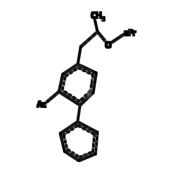 CCCOC(C)Cc1ccc(-c2ccccc2)c(C(C)=O)c1